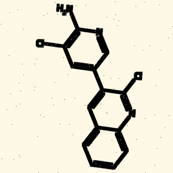 Nc1ncc(-c2cc3ccccc3nc2Cl)cc1Cl